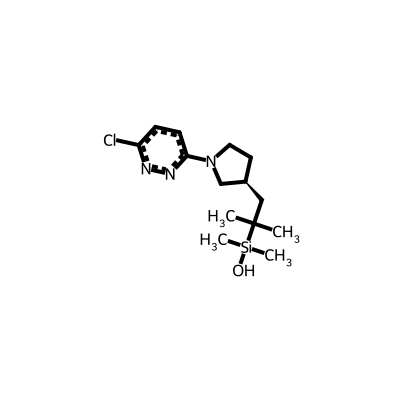 CC(C)(C[C@@H]1CCN(c2ccc(Cl)nn2)C1)[Si](C)(C)O